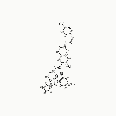 Clc1ccc(/C=C\CN2CCc3cc(OCC4CCOC(Cn5ccnc5)(c5ccc(Cl)cc5Cl)O4)c(Cl)cc3C2)cc1